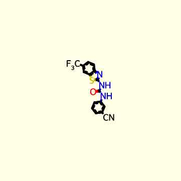 N#Cc1cccc(NC(=O)Nc2nc3ccc(C(F)(F)F)cc3s2)c1